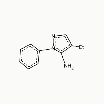 CCc1cnn(-c2ccccc2)c1N